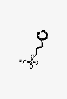 O=S(=O)(OCCCc1ccccc1)C(F)(F)F